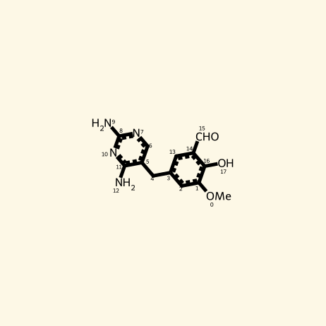 COc1cc(Cc2cnc(N)nc2N)cc(C=O)c1O